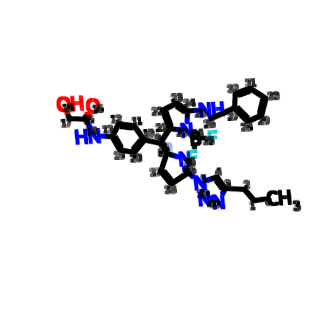 CCCc1cn(C2=N/C(=C(/c3ccc(NC(=O)CO)cc3)c3ccc(NCc4ccccc4)n3B(F)F)C=C2)nn1